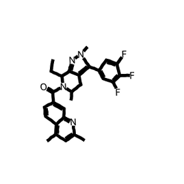 CCC1c2nn(C)c(-c3cc(F)c(F)c(F)c3)c2CC(C)N1C(=O)c1ccc2c(C)cc(C)nc2c1